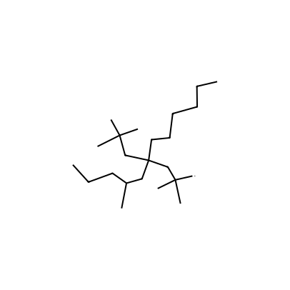 [CH2]C(C)(C)CC(CCCCCC)(CC(C)CCC)CC(C)(C)C